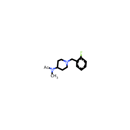 CC(=O)N(C)C1CCN(Cc2ccccc2F)CC1